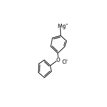 [Cl-].[Mg+][c]1ccc(Oc2ccccc2)cc1